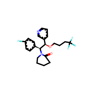 O=C1CCCCN1[C@@H](c1ccc(F)cc1)[C@H](OCCCC(F)(F)F)c1cccnc1